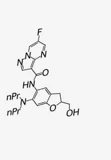 CCCN(CCC)c1cc2c(cc1NC(=O)c1cnn3cc(F)cnc13)CC(CO)O2